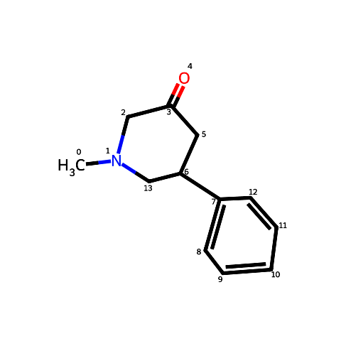 CN1CC(=O)CC(c2ccccc2)C1